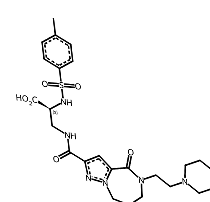 Cc1ccc(S(=O)(=O)N[C@@H](CNC(=O)c2cc3n(n2)CCCN(CCN2CCCCC2)C3=O)C(=O)O)cc1